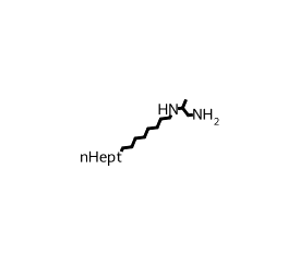 CCCCCCCCCCCCCCCNC(C)CN